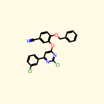 N#Cc1ccc(OCc2ccccc2)c(Oc2cc(-c3cccc(Cl)c3)nc(Cl)n2)c1